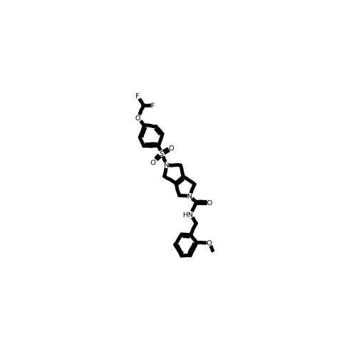 COc1ccccc1CNC(=O)N1CC2=C(C1)CN(S(=O)(=O)c1ccc(OC(F)F)cc1)C2